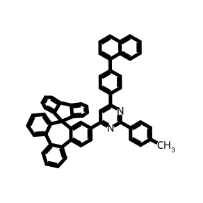 Cc1ccc(-c2nc(-c3ccc(-c4cccc5ccccc45)cc3)cc(-c3ccc4c(c3)C3(c5ccccc5-c5ccccc5-4)c4ccccc4-c4ccccc43)n2)cc1